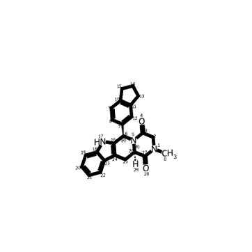 CN1CC(=O)N2[C@H](c3ccc4c(c3)CCC4)c3[nH]c4ccccc4c3C[C@@H]2C1=O